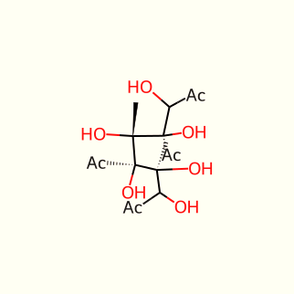 CC(=O)C(O)[C@](C)(O)[C@](O)(C(C)=O)[C@](C)(O)[C@@](O)(C(C)=O)C(O)C(C)=O